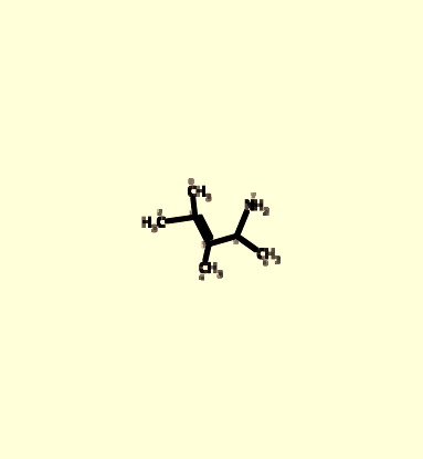 CC(C)=C(C)C(C)N